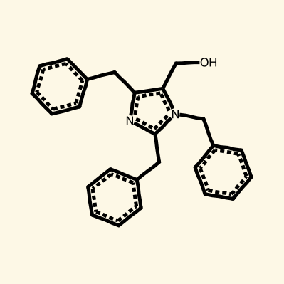 OCc1c(Cc2ccccc2)nc(Cc2ccccc2)n1Cc1ccccc1